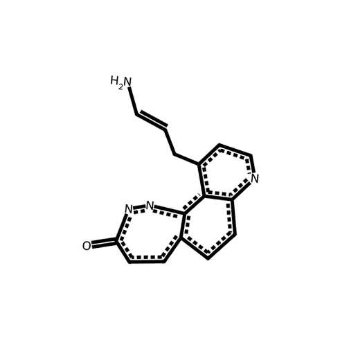 NC=CCc1ccnc2ccc3ccc(=O)nnc3c12